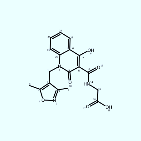 Cc1noc(C)c1Cn1c(=O)c(C(=O)NCC(=O)O)c(O)c2ccccc21